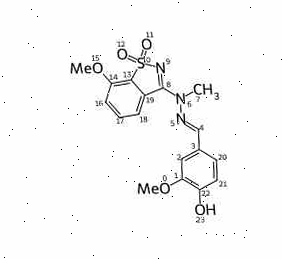 COc1cc(C=NN(C)C2=NS(=O)(=O)c3c(OC)cccc32)ccc1O